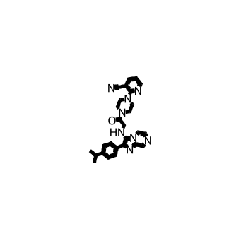 CC(C)c1ccc(-c2nc3cnccn3c2NCC(=O)N2CCN(c3ncccc3C#N)CC2)cc1